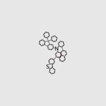 c1ccc(C2(c3ccccc3)c3ccccc3-c3ccc(N(c4cccc(-c5ccc6sc7ccccc7c6c5)c4)c4ccccc4-c4ccc5ccccc5c4)cc32)cc1